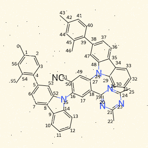 Cc1ccc(-c2ccc3c4ccccc4n(-c4cc(-c5nc(C)nc(C)n5)c(-n5c6ccccc6c6ccc(-c7ccc(C)cc7C)cc65)cc4C#N)c3c2)c(C)c1